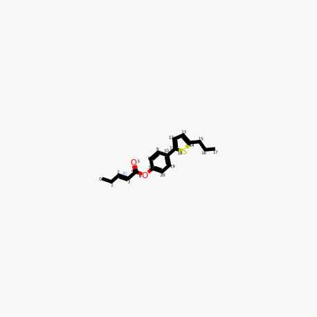 CC/C=C/C(=O)Oc1ccc(-c2ccc(CCC)s2)cc1